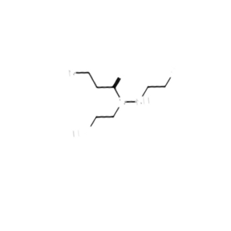 CCCNN(CCC)C(=O)CCN